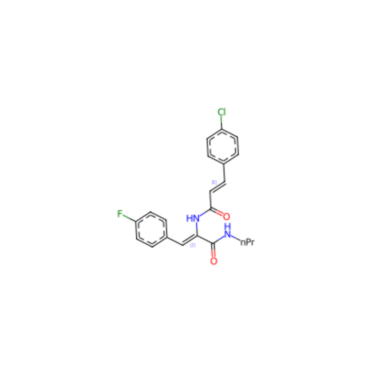 CCCNC(=O)/C(=C/c1ccc(F)cc1)NC(=O)/C=C/c1ccc(Cl)cc1